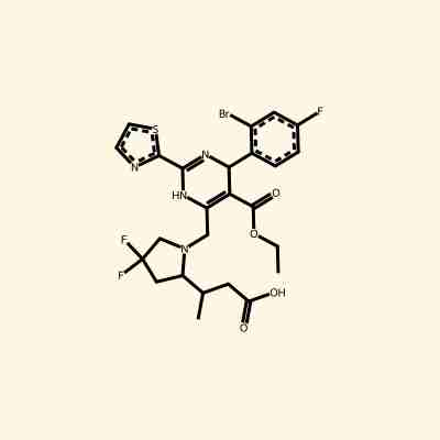 CCOC(=O)C1=C(CN2CC(F)(F)CC2C(C)CC(=O)O)NC(c2nccs2)=NC1c1ccc(F)cc1Br